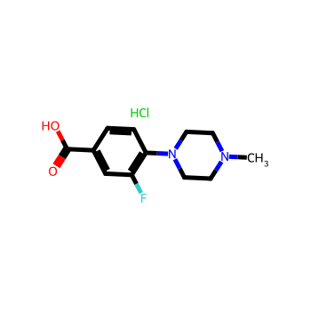 CN1CCN(c2ccc(C(=O)O)cc2F)CC1.Cl